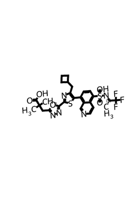 C[C@H](NS(=O)(=O)c1ccc(-c2sc(-c3nnc(CC(C)(C)C(=O)O)o3)nc2CC2CCC2)c2cnccc12)C(F)(F)F